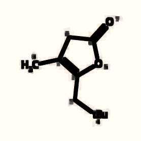 CC1=C(CC(C)(C)C)OC(=O)C1